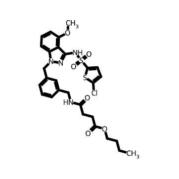 CCCCOC(=O)CCC(=O)NCc1cccc(Cn2nc(NS(=O)(=O)c3ccc(Cl)s3)c3c(OC)cccc32)c1